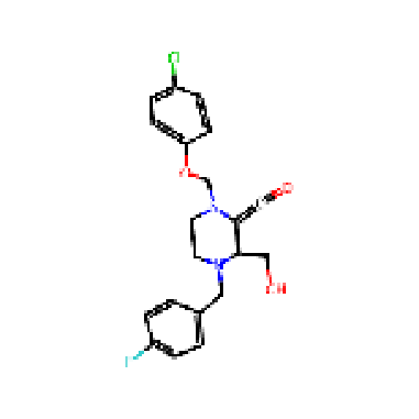 O=C=C1C(CO)N(Cc2ccc(F)cc2)CCN1COc1ccc(Cl)cc1